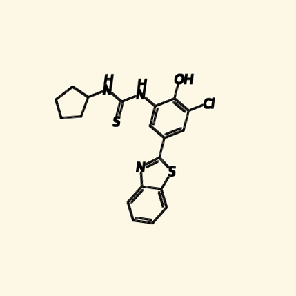 Oc1c(Cl)cc(-c2nc3ccccc3s2)cc1NC(=S)NC1CCCC1